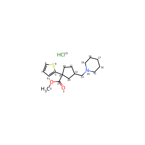 COC(=O)C1(c2cccs2)CCC(CN2CCCCC2)C1.Cl